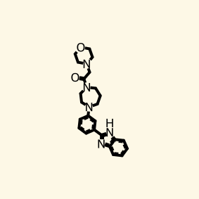 O=C(CN1CCOCC1)N1CCCN(c2cccc(-c3nc4ccccc4[nH]3)c2)CC1